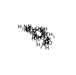 CC[C@@]12COP(=O)(O)O[C@H]3[C@@H](F)[C@H](n4cnc5c(N)ncnc54)C[C@]3(C)COP(=O)(O)O[C@H]1[C@@H](OC)[C@H](n1cnc3c(=O)[nH]c(N)nc31)O2